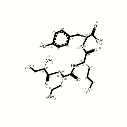 NCCC[C@H](NC(=O)[C@H](CCN)NC(=O)[C@@H](N)CS)C(=O)N[C@@H](Cc1ccc(O)cc1)C(=O)O